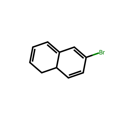 BrC1=CC2=CC=CCC2C=C1